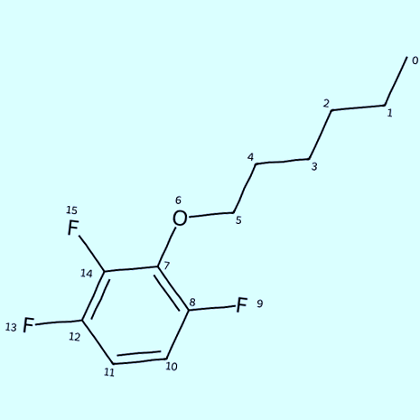 CCCCCCOc1c(F)ccc(F)c1F